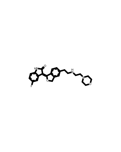 O=C1Nc2ccc(F)cc2C1=C1OCc2cc(CCNCCN3CCOCC3)ccc21